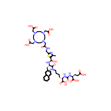 Cc1nc(CNC(=O)CN2CCN(CC(=O)O)CCN(CC(=O)O)CCN(CC(=O)O)CC2)sc1C(O)N[C@@H](Cc1ccc2ccccc2c1)C(=O)NCCCC[C@H](NC(=O)N[C@@H](CCC(=O)O)C(=O)O)C(=O)O